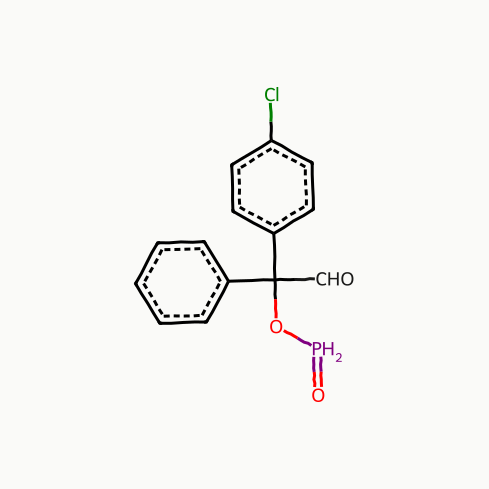 O=CC(O[PH2]=O)(c1ccccc1)c1ccc(Cl)cc1